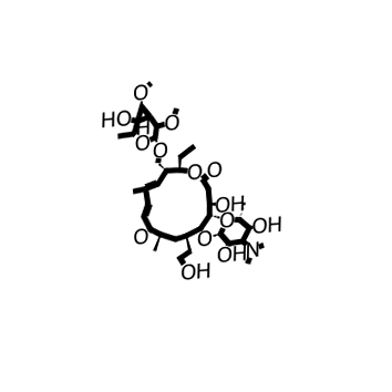 CC[C@H]1OC(=O)C[C@@H](O)[C@H](C)[C@@H](O[C@@H]2O[C@H](C)[C@@H](O)C(N(C)C)C2O)[C@@H](CCO)C[C@@H](C)C(=O)/C=C/C(C)=C/[C@@H]1CO[C@@H]1OC(C)C2(O)[C@H](OC)[C@@H]2C1OC